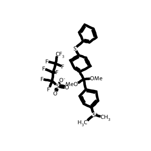 COC(OC)(c1ccc(Sc2ccccc2)cc1)c1ccc([S+](C)C)cc1.O=S(=O)([O-])C(F)(F)C(F)(F)C(F)(F)C(F)(F)F